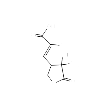 CC(=CC1COC(=O)C1(C)C)C(=O)O